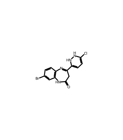 O=C1CC(C2=CC=C(Cl)NN2)=Nc2ccc(Br)cc2N1